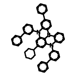 c1ccc(-c2cccc(N3c4ccccc4B4c5ccc(-c6ccccc6)cc5N(c5cccc(-c6ccccc6)c5)c5cc(C6CCCCC6)cc3c54)c2)cc1